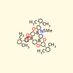 CSN1c2cc3c(cc2B2c4cc5c(cc4Oc4cc(-c6c(C)cccc6C)cc1c42)Oc1cc(-c2c(C)cccc2C)cc2c1B5c1ccccc1O2)B1c2ccccc2Oc2cc(-c4c(C)cccc4C)cc(c21)O3